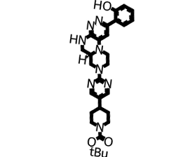 CC(C)(C)OC(=O)N1CCC(c2cnc(N3CCN4c5cc(-c6ccccc6O)nnc5NC[C@@H]4C3)nc2)CC1